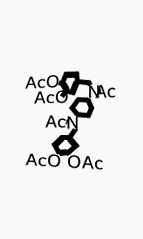 CC(=O)Oc1ccc(CN(C(C)=O)C2CCC(N(Cc3ccc(OC(C)=O)c(OC(C)=O)c3)C(C)=O)CC2)cc1OC(C)=O